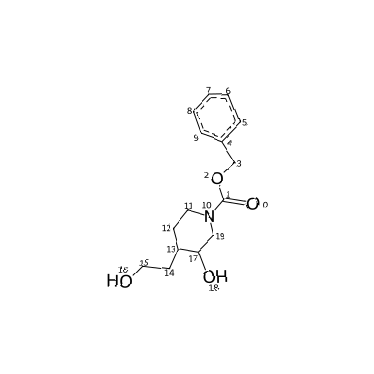 O=C(OCc1ccccc1)N1CCC(CCO)C(O)C1